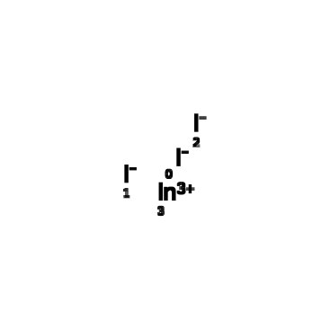 [I-].[I-].[I-].[In+3]